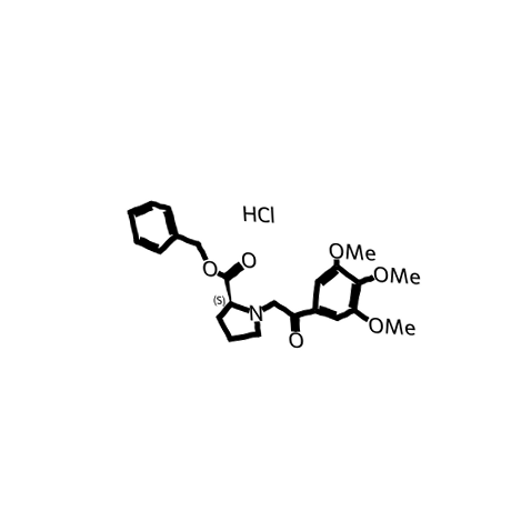 COc1cc(C(=O)CN2CCC[C@H]2C(=O)OCc2ccccc2)cc(OC)c1OC.Cl